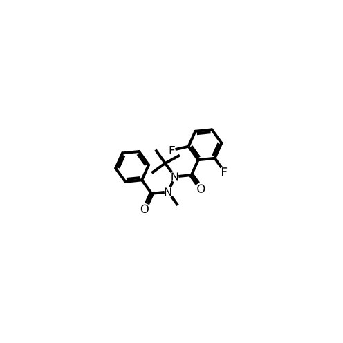 CN(C(=O)c1ccccc1)N(C(=O)c1c(F)cccc1F)C(C)(C)C